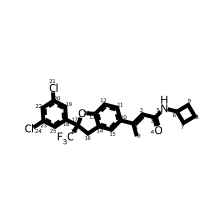 C/C(=C\C(=O)NC1CCC1)c1ccc2c(c1)CC(c1cc(Cl)cc(Cl)c1)(C(F)(F)F)O2